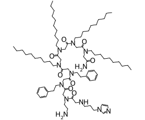 CCCCCCCCCCN(CC(N)=O)C(=O)CN(CCCCCCCCCC)C(=O)CN(CCCCCCCCCC)C(=O)CN(CCCCCCCCCC)C(=O)CN(CCc1ccccc1)C(=O)CN(CCc1ccccc1)C(=O)CN(CCN)C(=O)CNCCCn1ccnc1